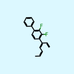 C=C/C(=C\C=C/C)c1ccc(-c2ccccc2)c(F)c1F